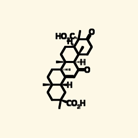 C[C@]1(C(=O)O)CC[C@]2(C)CC[C@]3(C)C(=CC(=O)[C@@H]4[C@@]5(C)CCC(=O)[C@@](C)(C(=O)O)[C@@H]5CC[C@]43C)[C@@H]2C1